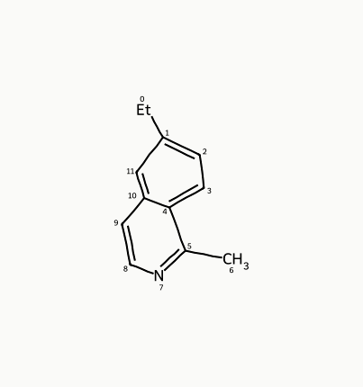 CCc1ccc2c(C)nccc2c1